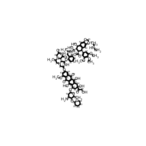 CC(CN1CC(=O)NC(=O)C1)N1CC(=O)NC(=O)C1.CCNN.CN(N)Cc1ccccc1.COc1cc([C@@H]2c3cc4c(cc3[C@H](O)[C@@H](CO)[C@@H]2C(=O)O)OCO4)cc(OC)c1OC.COc1cccc2c1C(=O)c1c(O)c3c(c(O)c1C2=O)C[C@@](O)(C(=O)CO)CC3O[C@H]1C[C@H](N)[C@H](O[C@@H]2CCCCO2)[C@H](C)O1